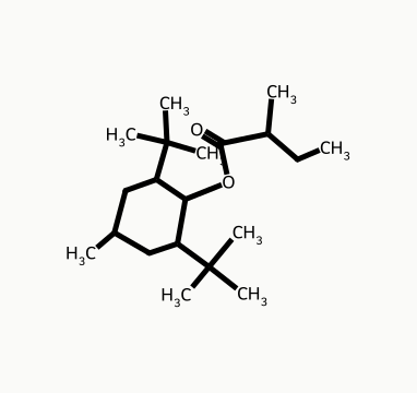 CCC(C)C(=O)OC1C(C(C)(C)C)CC(C)CC1C(C)(C)C